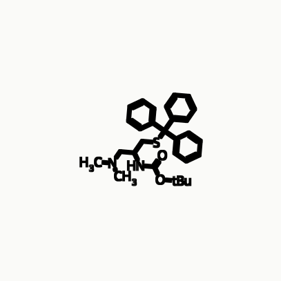 CN(C)CC(CSC(c1ccccc1)(c1ccccc1)c1ccccc1)NC(=O)OC(C)(C)C